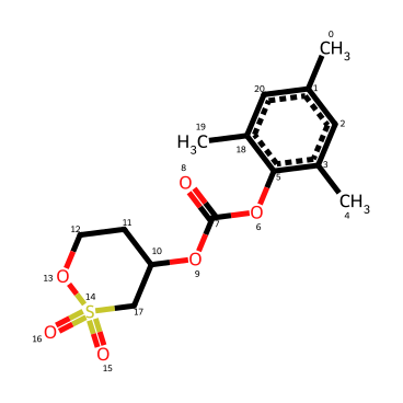 Cc1cc(C)c(OC(=O)OC2CCOS(=O)(=O)C2)c(C)c1